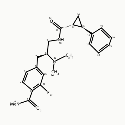 CNC(=O)c1ccc(C[C@@H](CNC(=O)[C@@H]2C[C@H]2c2ccccc2)N(C)C)cc1F